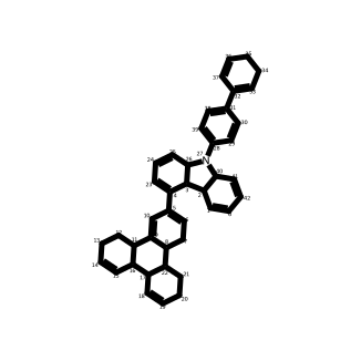 C1=CC2C3C(C4=CCC5C(=C4)C4CCC=CC4C4C=CCCC54)=CC=CC3N(c3ccc(C4=CCCC=C4)cc3)C2C=C1